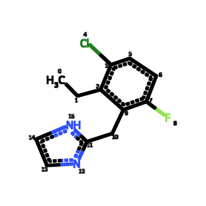 CCc1c(Cl)ccc(F)c1Cc1ncc[nH]1